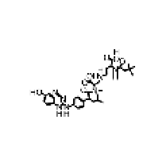 CC(C)CC(C(=O)NC(CNCCC(NC(=O)CC(C)(C)C)C(=O)O)C(=O)O)c1ccc(NC(=NC#N)Nc2ccc(O)cc2)cc1